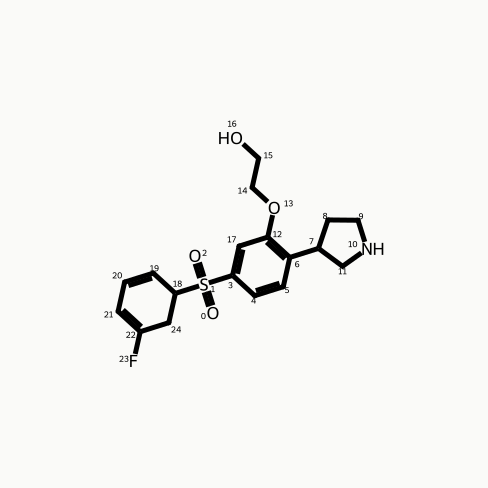 O=S(=O)(c1ccc(C2CCNC2)c(OCCO)c1)C1C=CC=C(F)C1